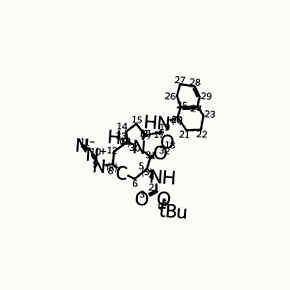 CC(C)(C)OC(=O)N[C@H]1CC[C@@H](N=[N+]=[N-])C[C@H]2CC[C@@H](C(=O)N[C@@H]3CCCC4=C3CCC=C4)N2C1=O